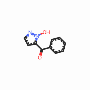 O=C(c1ccccc1)c1ccnn1O